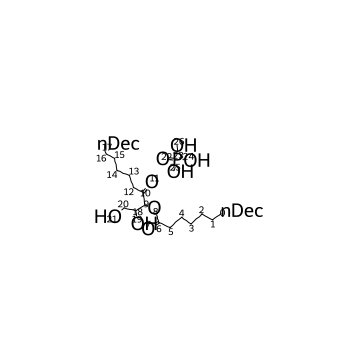 CCCCCCCCCCCCCCCC(=O)OC(C(=O)CCCCCCCCCCCCCCC)C(O)CO.O=P(O)(O)O